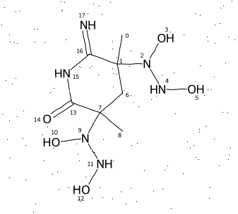 CC1(N(O)NO)CC(C)(N(O)NO)C(=O)NC1=N